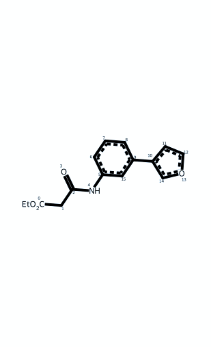 CCOC(=O)CC(=O)Nc1cccc(-c2ccoc2)c1